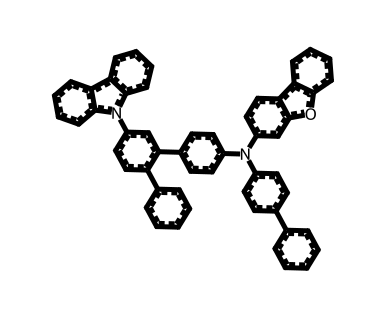 c1ccc(-c2ccc(N(c3ccc(-c4cc(-n5c6ccccc6c6ccccc65)ccc4-c4ccccc4)cc3)c3ccc4c(c3)oc3ccccc34)cc2)cc1